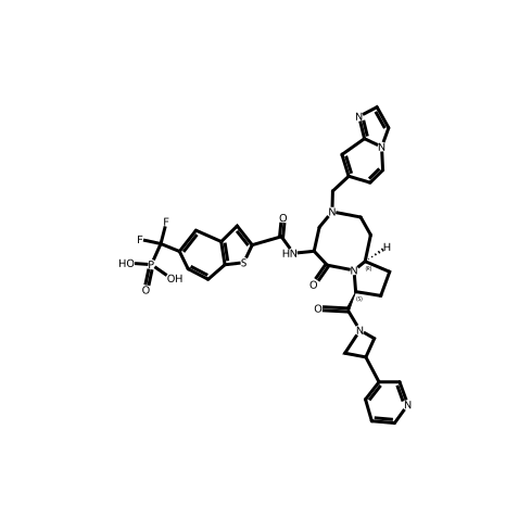 O=C(NC1CN(Cc2ccn3ccnc3c2)CC[C@H]2CC[C@@H](C(=O)N3CC(c4cccnc4)C3)N2C1=O)c1cc2cc(C(F)(F)P(=O)(O)O)ccc2s1